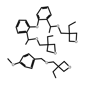 CCC1(COC(C)c2ccccc2Oc2ccccc2C(C)OCC2(CC)COC2)COC1.CCC1(COCc2ccc(OC)cc2)COC1